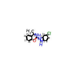 CC(NC(=O)n1[nH]c2ccc(Cl)cc21)c1ccccc1